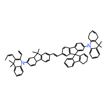 C=CC1=C(/C=C\C)C(C)(C)c2ccccc2N1C1=CC2C(C=C1)c1ccc(/C=C/c3ccc4c(c3)C3(C5=C(CCC=C5)c5ccccc53)c3cc(N5C6=C(CC=CCC6)C(C)(C)c6ccccc65)ccc3-4)cc1C2(C)C